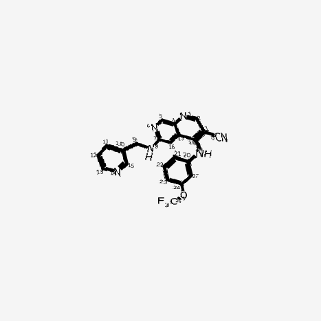 N#Cc1cnc2cnc(NCc3cccnc3)cc2c1Nc1cccc(OC(F)(F)F)c1